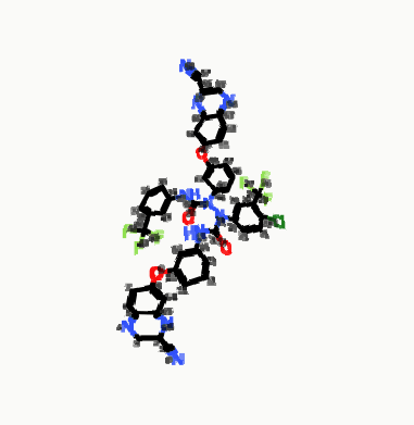 N#Cc1cnc2ccc(Oc3cccc(NC(=O)N(c4ccc(Cl)c(C(F)(F)F)c4)N(C(=O)Nc4cccc(C(F)(F)F)c4)c4cccc(Oc5ccc6ncc(C#N)nc6c5)c4)c3)cc2n1